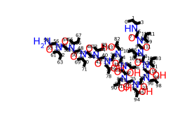 CCC(C)NCC(=O)N(CC(=O)N(CC(=O)N(CC(=O)N(CC(=O)N(CC(=O)N(CC(=O)N(CCN(CC(=O)N(CC(=O)N(CC(=O)N(CC(=O)N(CC(=O)N(CC(N)=O)C(C)CC)C(C)CC)C(C)CC)C(C)CC)CC(C)O)CC(C)O)CC(C)O)CC(C)O)CC(C)O)CC(C)O)C(C)CC)C(C)CC)C(C)CC